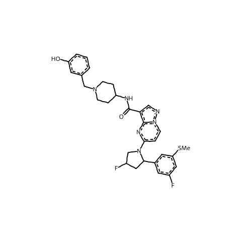 CSc1cc(F)cc(C2CC(F)CN2c2ccn3ncc(C(=O)NC4CCN(Cc5cccc(O)c5)CC4)c3n2)c1